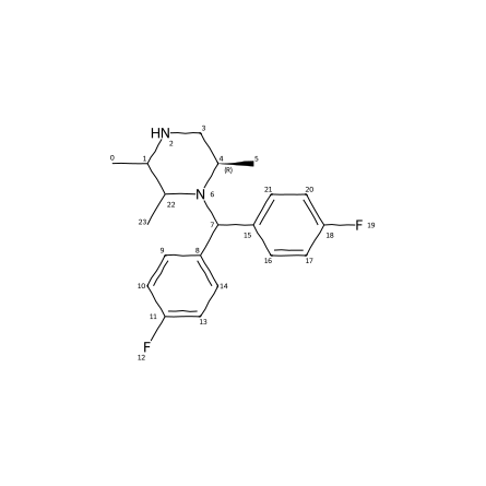 CC1NC[C@@H](C)N(C(c2ccc(F)cc2)c2ccc(F)cc2)C1C